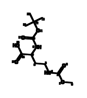 COC(=O)NCCC(NC(=O)OC(C)(C)C)C(=O)O